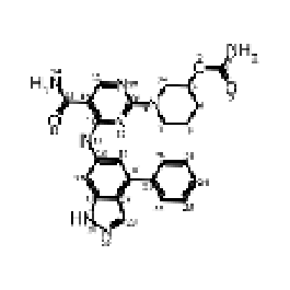 NC(=O)OC1CCCN(c2ncc(C(N)=O)c(Nc3cc(-c4ccccc4)c4cn[nH]c4c3)n2)C1